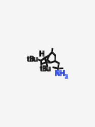 CC1CC(CC(C)(C)N)C2CC1[C@@H]1C(C(C)(C)C)C(C(C)(C)C)C21C